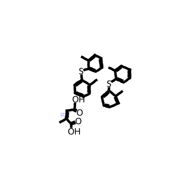 C/C(=C/C(=O)O)C(=O)O.Cc1ccccc1Sc1ccccc1C.Cc1ccccc1Sc1ccccc1C